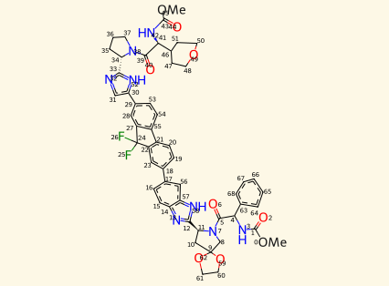 COC(=O)NC(C(=O)N1CC2(C[C@H]1c1nc3ccc(-c4ccc5c(c4)C(F)(F)c4cc(-c6cnc([C@@H]7CCCN7C(=O)[C@@H](NC(=O)OC)C7CCOCC7)[nH]6)ccc4-5)cc3[nH]1)OCCO2)c1ccccc1